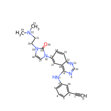 C#Cc1cccc(Nc2ncnc3ccc(-n4ccn(CCN(C)C)c4=O)cc23)c1